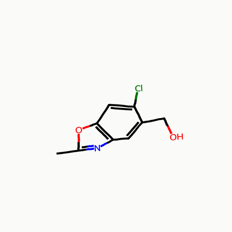 Cc1nc2cc(CO)c(Cl)cc2o1